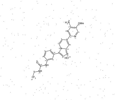 COc1cnc(-c2ccn3c(-c4cccc(NC(=O)NCC(F)(F)F)c4)cnc3c2)nc1N.Cl